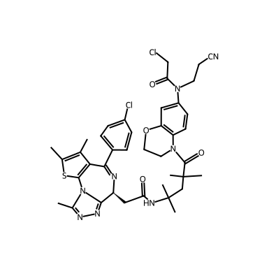 Cc1sc2c(c1C)C(c1ccc(Cl)cc1)=N[C@@H](CC(=O)NC(C)(C)CC(C)(C)C(=O)N1CCOc3cc(N(CCC#N)C(=O)CCl)ccc31)c1nnc(C)n1-2